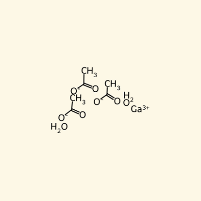 CC(=O)[O-].CC(=O)[O-].CC(=O)[O-].O.O.[Ga+3]